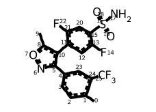 Cc1ccc(-c2noc(C)c2-c2cc(F)c(S(N)(=O)=O)cc2F)cc1C(F)(F)F